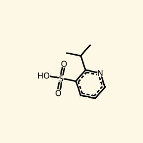 CC(C)c1ncccc1S(=O)(=O)O